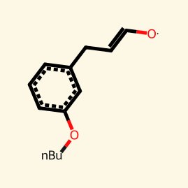 CCCCOc1cccc(CC=C[O])c1